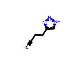 C#CCCc1c[nH]nn1